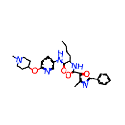 CCCCC(NC(=O)c1oc(-c2ccccc2)nc1C)C(=O)Nc1ccc(OC2CCN(C)CC2)nc1